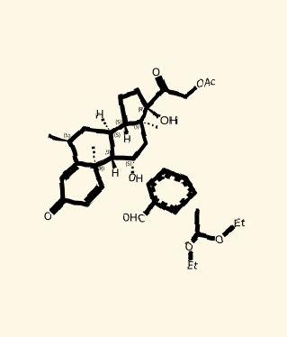 CC(=O)OCC(=O)[C@@]1(O)CC[C@H]2[C@@H]3C[C@H](C)C4=CC(=O)C=C[C@]4(C)[C@H]3[C@@H](O)C[C@@]21C.CCOC(C)OCC.O=Cc1ccccc1